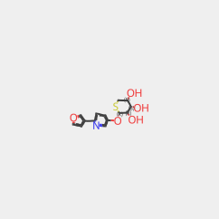 O[C@@H]1[C@@H](O)[C@H](Oc2ccc(-c3ccoc3)nc2)SC[C@H]1O